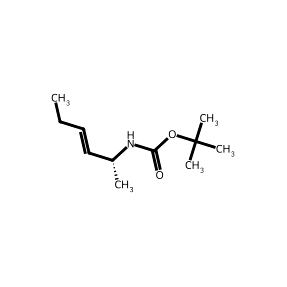 CC/C=C/[C@@H](C)NC(=O)OC(C)(C)C